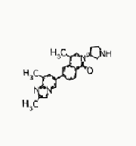 Cc1cn2cc(-c3ccc4c(=O)n([C@H]5CCNC5)cc(C)c4c3)cc(C)c2n1